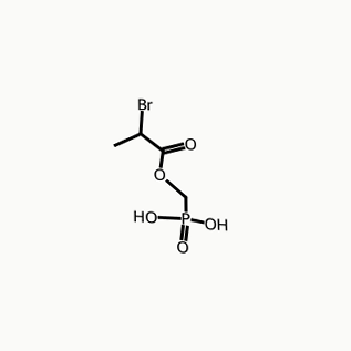 CC(Br)C(=O)OCP(=O)(O)O